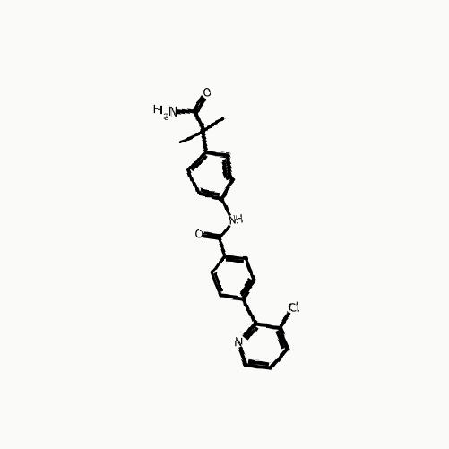 CC(C)(C(N)=O)c1ccc(NC(=O)c2ccc(-c3ncccc3Cl)cc2)cc1